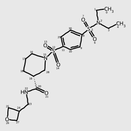 CCN(CC)S(=O)(=O)c1ccc(S(=O)(=O)N2CCC[C@@H](C(=O)NCC3COC3)C2)cc1